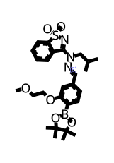 COCCOc1cc(/C=N/N(CC(C)C)C2=NS(=O)(=O)c3ccccc32)ccc1B1OC(C)(C)C(C)(C)O1